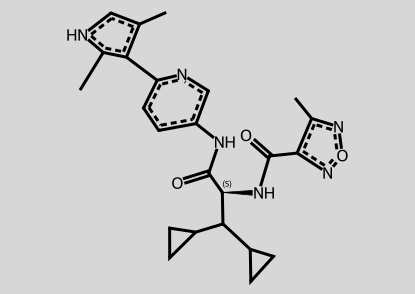 Cc1c[nH]c(C)c1-c1ccc(NC(=O)[C@@H](NC(=O)c2nonc2C)C(C2CC2)C2CC2)cn1